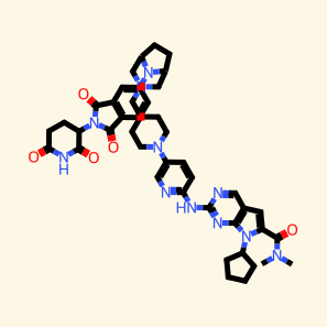 CN(C)C(=O)c1cc2cnc(Nc3ccc(N4CCC(CN5CC6CCC(C5)N6c5ccc6c(c5)C(=O)N(C5CCC(=O)NC5=O)C6=O)CC4)cn3)nc2n1C1CCCC1